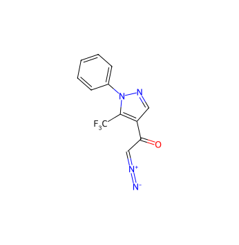 [N-]=[N+]=CC(=O)c1cnn(-c2ccccc2)c1C(F)(F)F